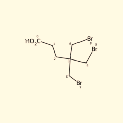 O=C(O)CCC(CBr)(CBr)CBr